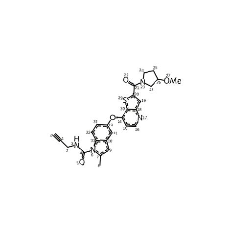 C#CCNC(=O)n1c(C)cc2cc(Oc3ccnc4cc(C(=O)N5CCC(OC)C5)sc34)ccc21